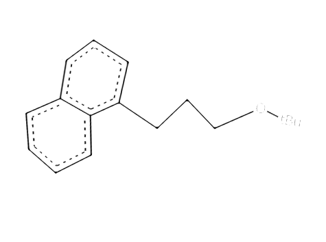 CC(C)(C)OCCCc1cc[c]c2ccccc12